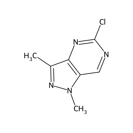 Cc1nn(C)c2cnc(Cl)nc12